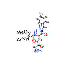 COC[C@H](NC(C)=O)C(=O)N[C@@H](CCC(=O)C=N)C(=O)NCc1ccc(F)cc1